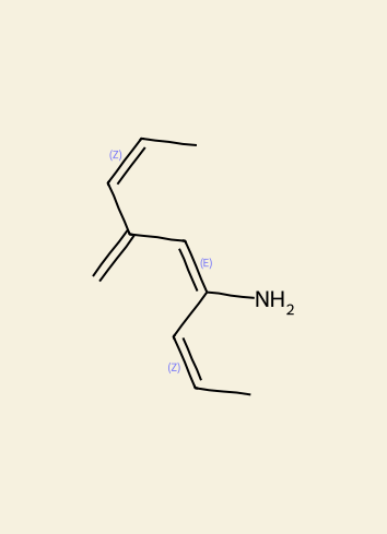 C=C(/C=C\C)/C=C(N)\C=C/C